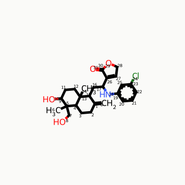 C=C1CCC2C(C)(CO)C(O)CCC2(C)C1CC(Nc1cccc(Cl)c1)C1=CCOC1=O